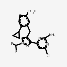 Nc1nc(Cl)cc(-c2nn(C(F)F)cc2Cc2cc(C(=O)O)ccc2C2CC2)n1